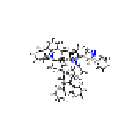 c1ccc(-c2nc3ccc4c5cc(-c6cccc7c8ccccc8n(-c8ccc(-c9ccc%10c%11ccccc%11c%11ccccc%11c%10c9)cc8)c67)ccc5n(-c5ccccc5)c4c3s2)cc1